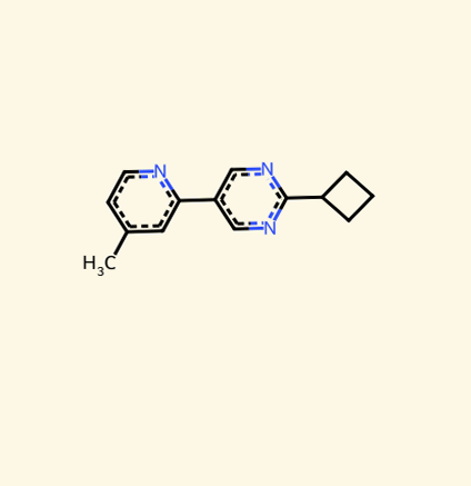 Cc1ccnc(-c2cnc(C3CCC3)nc2)c1